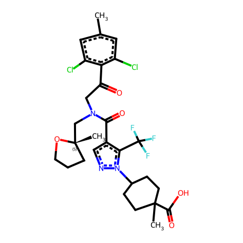 Cc1cc(Cl)c(C(=O)CN(C[C@]2(C)CCCO2)C(=O)c2cnn(C3CCC(C)(C(=O)O)CC3)c2C(F)(F)F)c(Cl)c1